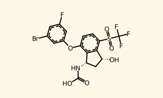 O=C(O)N[C@H]1C[C@@H](O)c2c(S(=O)(=O)C(F)(F)F)ccc(Oc3cc(F)cc(Br)c3)c21